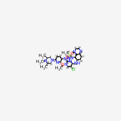 COc1nc(N2CC(C)N(C)[C@@H](C)C2)ccc1Nc1ncc(Cl)c(Nc2ccc3nccnc3c2NS(C)(=O)=O)n1